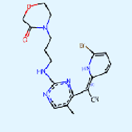 Cc1cnc(NCCCN2CCOCC2=O)nc1/C(C#N)=C1/C=CC=C(Br)N1